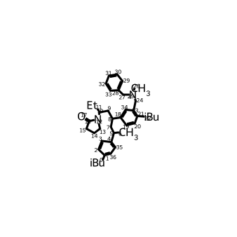 CCC(C)c1ccc(C(C)CC(CC(CC)N2CCCC2=O)c2ccc(C(C)CC)c(CN(C)Cc3ccccc3)c2)cc1